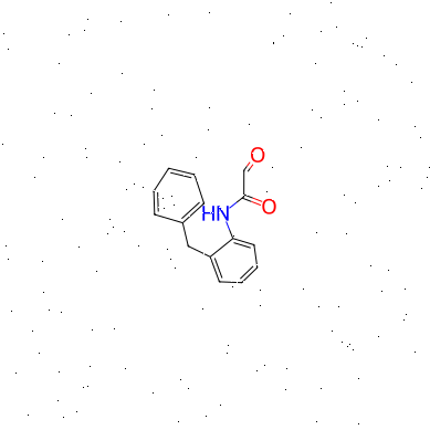 O=CC(=O)Nc1ccccc1Cc1ccccc1